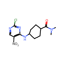 CN(C)C(=O)C1CCC(Nc2nc(Cl)ncc2[N+](=O)[O-])CC1